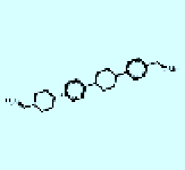 C=C[C@H]1CC[C@H](c2ccc(C3CCC(c4ccc(COC)cc4)CC3)cc2)CC1